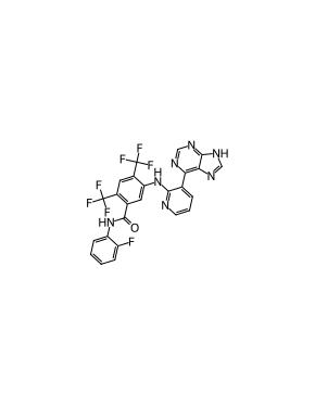 O=C(Nc1ccccc1F)c1cc(Nc2ncccc2-c2ncnc3[nH]cnc23)c(C(F)(F)F)cc1C(F)(F)F